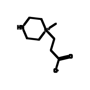 C[N+]1(CCC([O])=O)CCNCC1